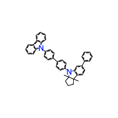 CC12CCCC1(C)N(c1ccc(-c3ccc(-n4c5ccccc5c5ccccc54)cc3)cc1)c1cc(-c3ccccc3)ccc12